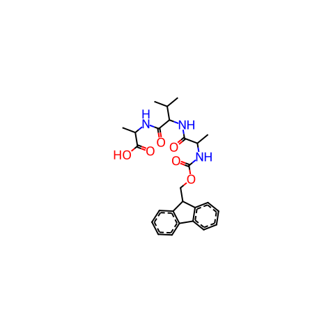 CC(NC(=O)C(NC(=O)C(C)NC(=O)OCC1c2ccccc2-c2ccccc21)C(C)C)C(=O)O